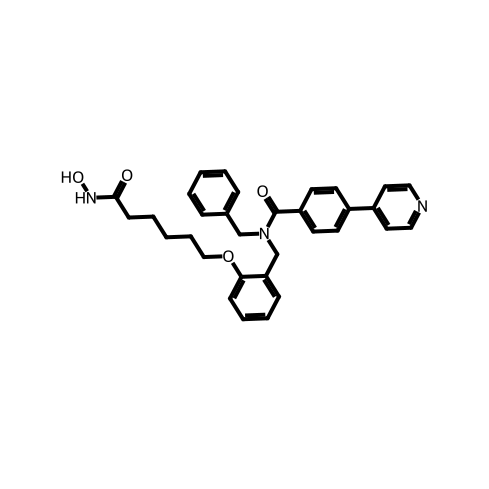 O=C(CCCCCOc1ccccc1CN(Cc1ccccc1)C(=O)c1ccc(-c2ccncc2)cc1)NO